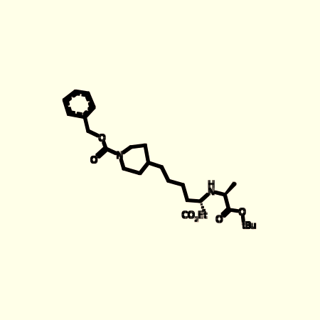 CCOC(=O)[C@H](CCCCC1CCN(C(=O)OCc2ccccc2)CC1)N[C@@H](C)C(=O)OC(C)(C)C